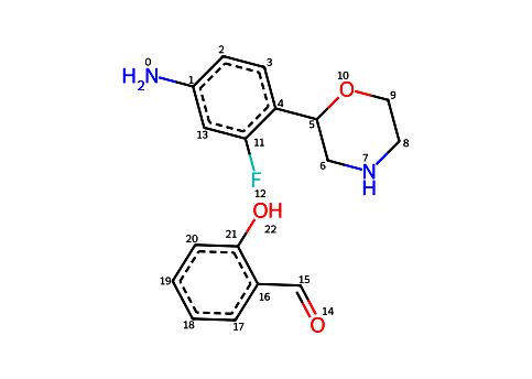 Nc1ccc(C2CNCCO2)c(F)c1.O=Cc1ccccc1O